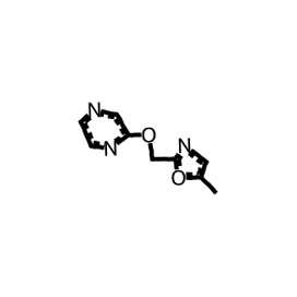 Cc1cnc(COc2cnccn2)o1